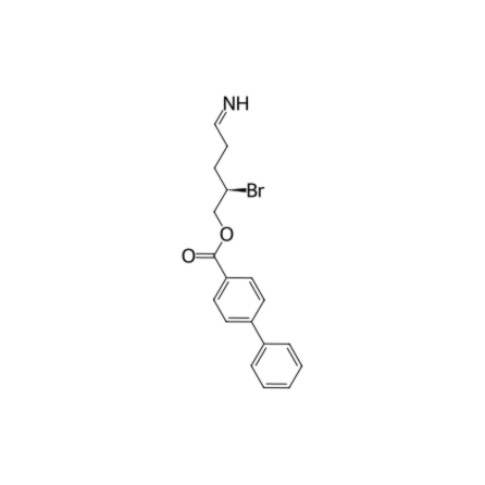 N=CCC[C@@H](Br)COC(=O)c1ccc(-c2ccccc2)cc1